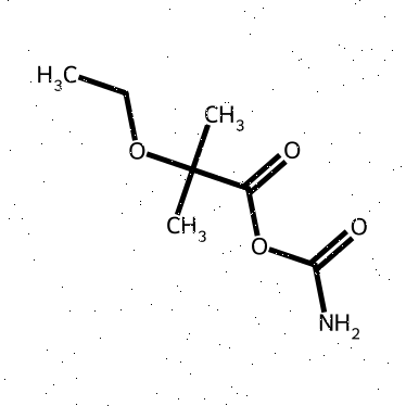 CCOC(C)(C)C(=O)OC(N)=O